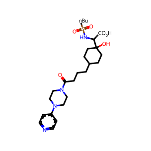 CCCCS(=O)(=O)NC(C(=O)O)C1(O)CCC(CCCC(=O)N2CCN(c3ccncc3)CC2)CC1